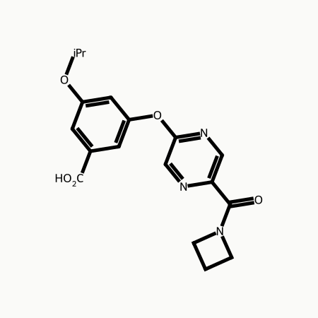 CC(C)Oc1cc(Oc2cnc(C(=O)N3CCC3)cn2)cc(C(=O)O)c1